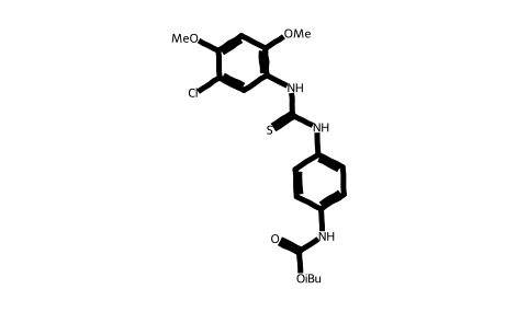 COc1cc(OC)c(NC(=S)Nc2ccc(NC(=O)OCC(C)C)cc2)cc1Cl